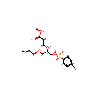 CCCCOC[C@H](COS(=O)(=O)c1ccc(C)cc1)OCCC(=O)OC